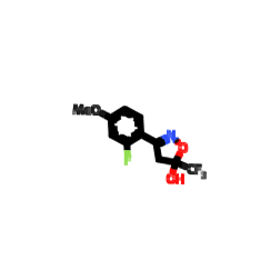 COc1ccc(C2=NOC(O)(C(F)(F)F)C2)c(F)c1